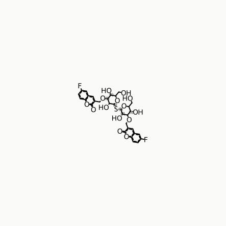 O=c1oc2ccc(F)cc2cc1COC1[C@@H](O)C(CO)O[C@@H](S[C@@H]2OC(CO)[C@H](O)[C@H](OCc3cc4cc(F)ccc4oc3=O)C2O)[C@@H]1O